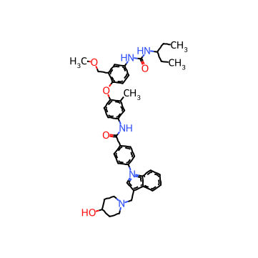 CCC(CC)NC(=O)Nc1ccc(Oc2ccc(NC(=O)c3ccc(-n4cc(CN5CCC(O)CC5)c5ccccc54)cc3)cc2C)c(COC)c1